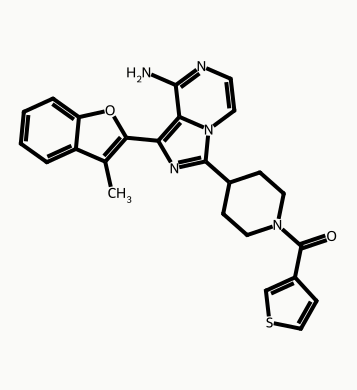 Cc1c(-c2nc(C3CCN(C(=O)c4ccsc4)CC3)n3ccnc(N)c23)oc2ccccc12